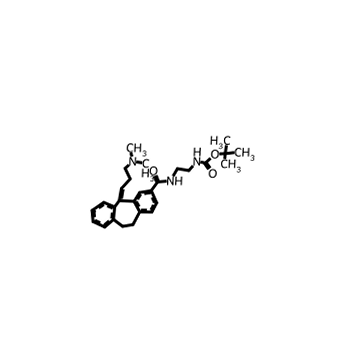 CN(C)CC/C=C1/c2ccccc2CCc2ccc(C(=O)NCCNC(=O)OC(C)(C)C)cc21